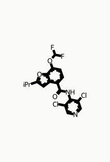 CC(C)c1cc2c(C(=O)Nc3c(Cl)cncc3Cl)ccc(OC(F)F)c2o1